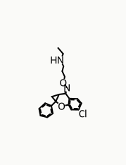 CCNCCCON=C1c2ccc(Cl)cc2OC2(c3ccccc3)CC12